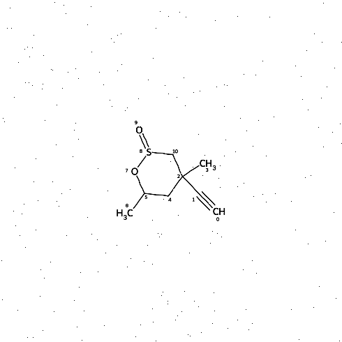 C#CC1(C)CC(C)OS(=O)C1